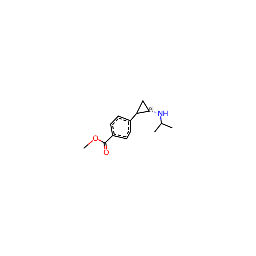 COC(=O)c1ccc(C2C[C@@H]2NC(C)C)cc1